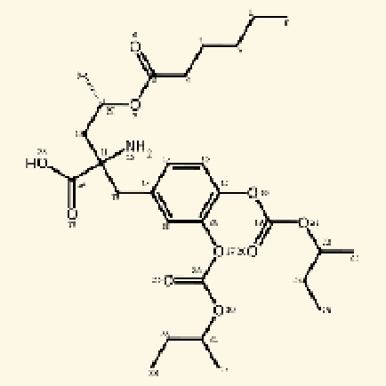 CCCCCC(=O)O[C@@H](C)CC(N)(Cc1ccc(OC(=O)OC(C)CC)c(OC(=O)OC(C)CC)c1)C(=O)O